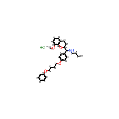 CCCCNC(c1ccc(OCCCCOc2ccccc2)cc1)C1CCc2cccc(OC)c2O1.Cl